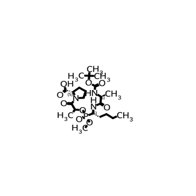 CCCC[C@@H](NC(=O)[C@H](C)NC(=O)OC(C)(C)C)P(=O)(OC)OC(C)C(=O)N1CCC[C@H]1C(=O)O